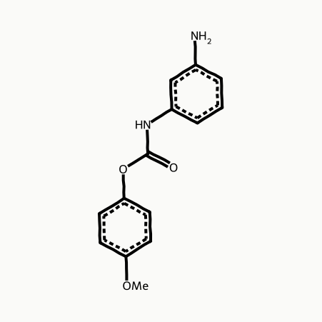 COc1ccc(OC(=O)Nc2cccc(N)c2)cc1